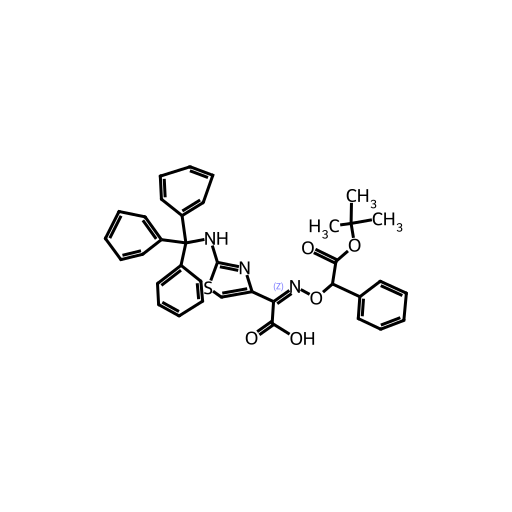 CC(C)(C)OC(=O)C(O/N=C(\C(=O)O)c1csc(NC(c2ccccc2)(c2ccccc2)c2ccccc2)n1)c1ccccc1